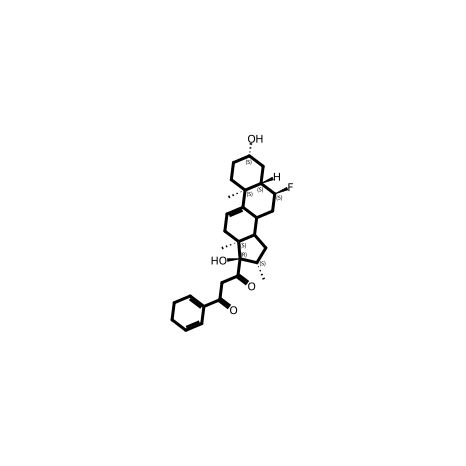 C[C@H]1CC2C3C[C@H](F)[C@H]4C[C@@H](O)CC[C@]4(C)C3=CC[C@]2(C)[C@@]1(O)C(=O)CC(=O)C1=CCCC=C1